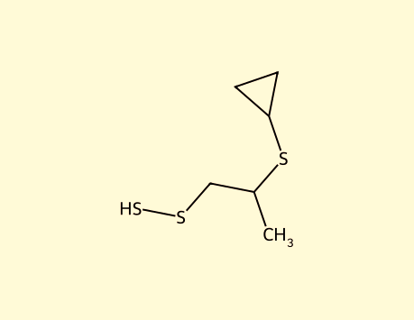 CC(CSS)SC1CC1